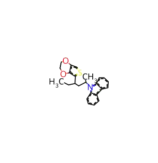 CCC(CC(C)n1c2ccccc2c2ccccc21)c1scc2c1OCCO2